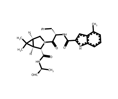 Cc1cccc2[nH]c(C(=O)N[C@@H](CC(C)C)C(=O)N3C[C@H]4[C@@H]([C@H]3C(=O)N[C@@H](C)C=O)C4(C)C)cc12